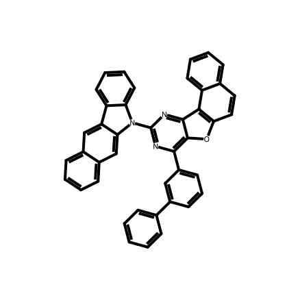 c1ccc(-c2cccc(-c3nc(-n4c5ccccc5c5cc6ccccc6cc54)nc4c3oc3ccc5ccccc5c34)c2)cc1